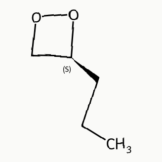 CCC[C@H]1COO1